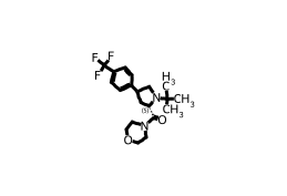 CC(C)(C)N1CC(c2ccc(C(F)(F)F)cc2)C[C@H]1C(=O)N1CCOCC1